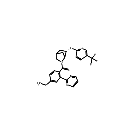 COc1ccc(C(=O)N2CC3CC2[C@@H](Oc2ccc(C(F)(F)F)cn2)C3)c(-c2ncccn2)c1